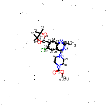 CC(C)(C)OC(=O)N1CCN(c2nc(C(F)(F)F)nc3cc(B4OC(C)(C)C(C)(C)O4)c(Cl)cc23)CC1